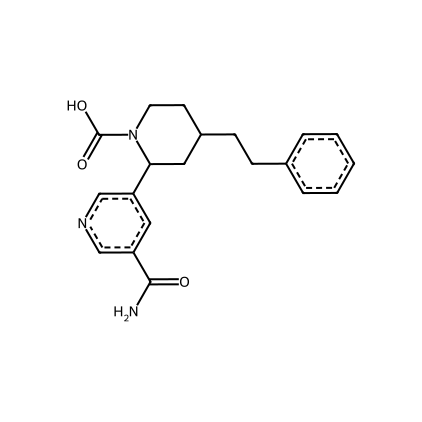 NC(=O)c1cncc(C2CC(CCc3ccccc3)CCN2C(=O)O)c1